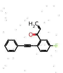 C=CC(=O)c1cc(F)ccc1C#Cc1ccccc1